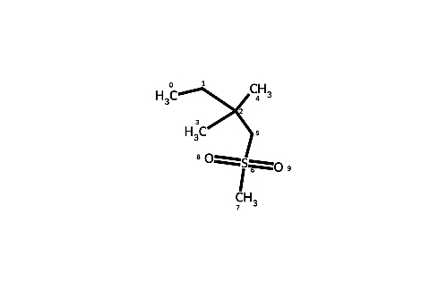 CCC(C)(C)CS(C)(=O)=O